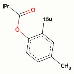 Cc1ccc(OC(=O)C(C)C)c(C(C)(C)C)c1